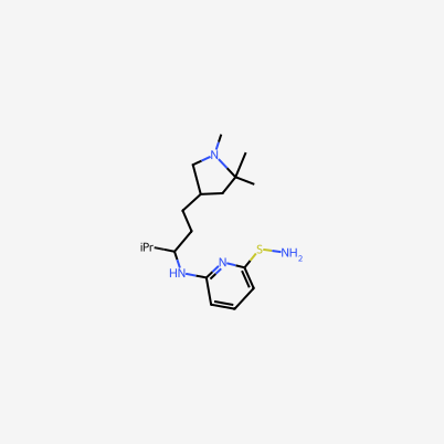 CC(C)C(CCC1CN(C)C(C)(C)C1)Nc1cccc(SN)n1